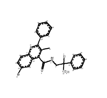 CCC(CNC(=O)c1c(C)c(-c2ccccc2)nc2ccc(Br)cc12)(C(=O)O)c1ccccc1